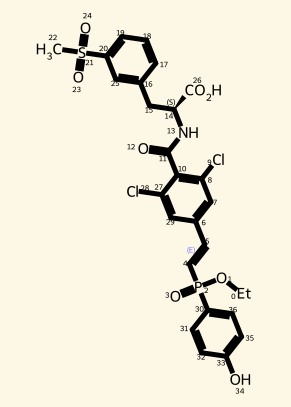 CCOP(=O)(/C=C/c1cc(Cl)c(C(=O)N[C@@H](Cc2cccc(S(C)(=O)=O)c2)C(=O)O)c(Cl)c1)c1ccc(O)cc1